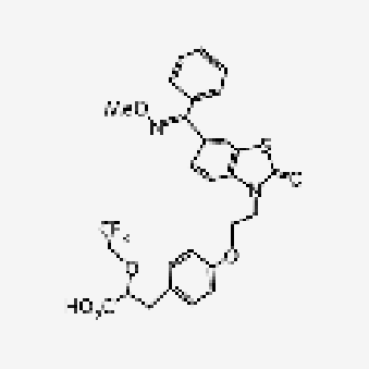 CON=C(c1ccccc1)c1ccc2c(c1)sc(=O)n2CCOc1ccc(CC(OCC(F)(F)F)C(=O)O)cc1